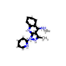 CCCCNc1c2ccccc2nc2c1c(C)nn2-c1ccccn1